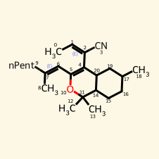 C/C=C(/C#N)C1=C(/C=C(\C)CCCCC)OC(C)(C)C2CCC(C)CC12